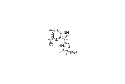 C#CC(C)(C)C(C)NC(=C)C1=CNC(=C)/C1=N\C(=C/CC)C1CC1